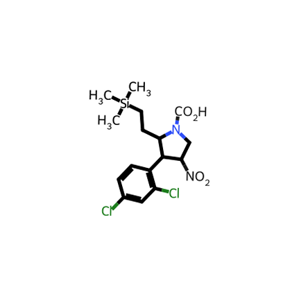 C[Si](C)(C)CCC1C(c2ccc(Cl)cc2Cl)C([N+](=O)[O-])CN1C(=O)O